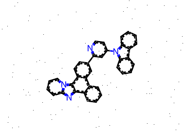 c1ccc2c(c1)c1cc(-c3cc(-n4c5ccccc5c5ccccc54)ccn3)ccc1c1c2nc2ccccn21